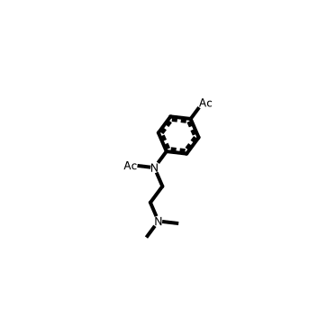 CC(=O)c1ccc(N(CCN(C)C)C(C)=O)cc1